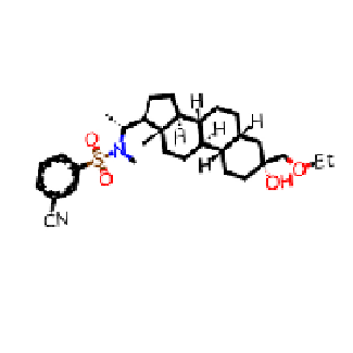 CCOC[C@@]1(O)CC[C@H]2[C@H](CC[C@@H]3[C@@H]2CC[C@]2(C)[C@@H]([C@@H](C)N(C)S(=O)(=O)c4cccc(C#N)c4)CC[C@@H]32)C1